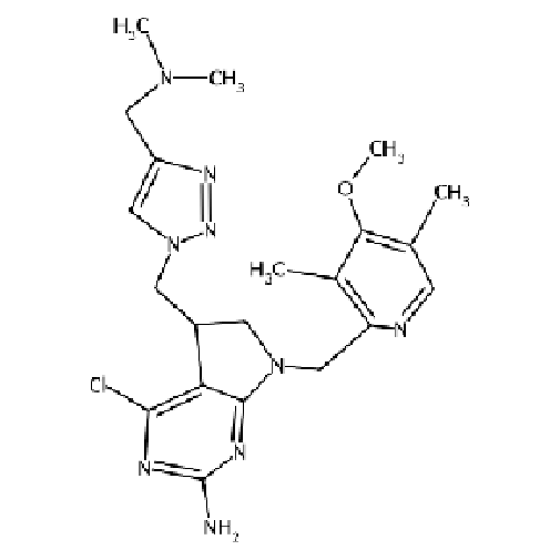 COc1c(C)cnc(CN2CC(Cn3cc(CN(C)C)nn3)c3c(Cl)nc(N)nc32)c1C